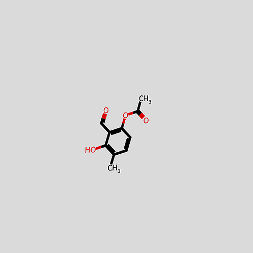 CC(=O)Oc1ccc(C)c(O)c1C=O